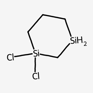 Cl[Si]1(Cl)CCC[SiH2]C1